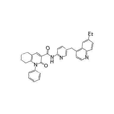 CCc1ccc2nccc(Cc3ccc(NC(=O)c4cc5c(n(-c6ccccc6)c4=O)CCCC5)nc3)c2c1